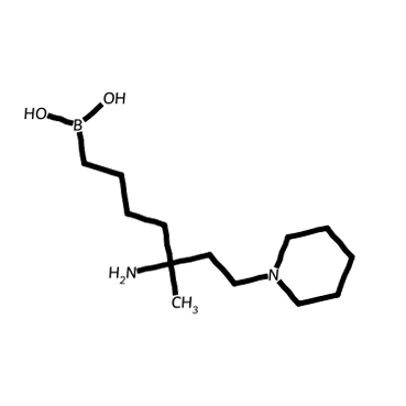 CC(N)(CCCCB(O)O)CCN1CCCCC1